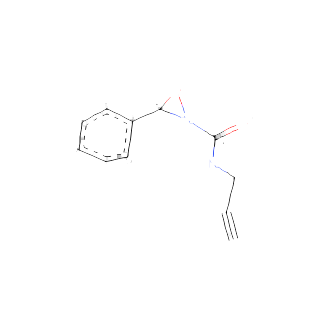 C#CCNC(=O)N1OC1c1ccccc1